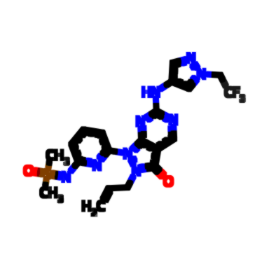 C=CCn1c(=O)c2cnc(Nc3cnn(CC(F)(F)F)c3)nc2n1-c1cccc(N=S(C)(C)=O)n1